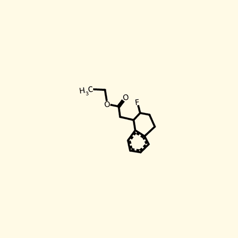 CCOC(=O)CC1c2ccccc2CCC1F